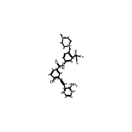 CN1CCN(Cc2ccc(NC(=O)c3ccc(Cl)c(C#Cc4nccnc4N)c3)cc2C(F)(F)F)CC1